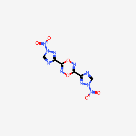 O=[N+]([O-])n1cnc(C2=NOC(c3ncn([N+](=O)[O-])n3)=NO2)n1